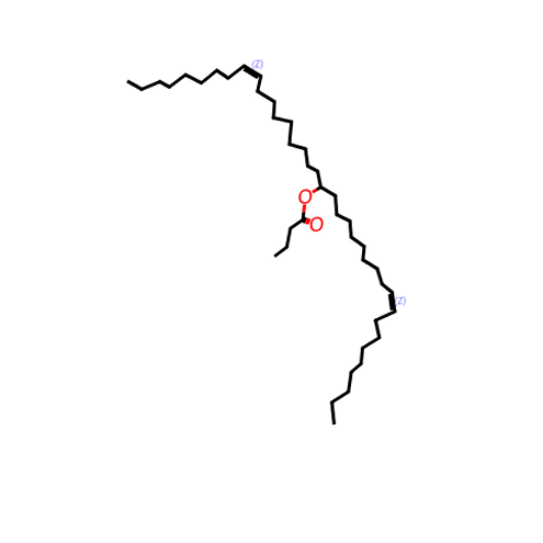 CCCCCCCC/C=C\CCCCCCCCC(CCCCCCCC/C=C\CCCCCCCC)OC(=O)CCC